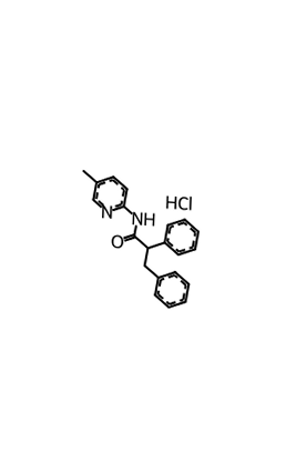 Cc1ccc(NC(=O)C(Cc2ccccc2)c2ccccc2)nc1.Cl